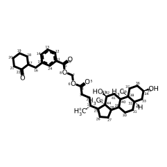 C[C@H](CCC(=O)OCOC(=O)c1cccc(CC2CCCCC2=O)c1)C1CCC2C3CC[C@@H]4C[C@H](O)CC[C@]4(C)C3C[C@H](O)[C@@]21C